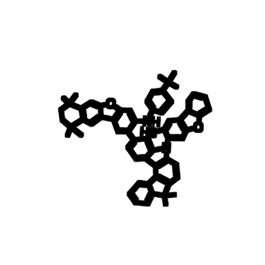 CC(C)(C)c1ccc(Nc2cc3oc4cc5c(cc4c3cc2-c2ccc3c4c6c(ccc4n4c3c2Bc2cc3c(cc2-4)oc2ccccc23)C(C)(C)c2ccccc2-6)C(C)(C)CCC5(C)C)cc1